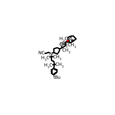 CC(C)(C)c1ccc(C(C)(C)CCC(C)(C)N(CCC#N)C2CCC(C(C)(C)CCC(C)(C)N3C4CCC3CC(C(C)(C)C)C4)CC2)cc1